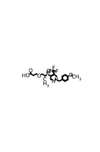 COc1ccc(CN2CC(C(F)(F)F)=C(N(C)[C@@H](C)COCCC(=O)O)C=N2)cc1